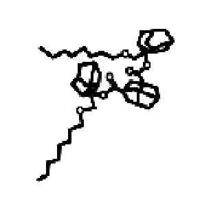 CCCCCCCCOCC1(OC(=O)C23CC4CC(C2)CC(C(=O)OC2(COCCCCCCCC)C5CC6CC(C5)CC2C6)(C4)C3)C2CC3CC(C2)CC1C3